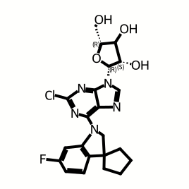 OC[C@H]1O[C@@H](n2cnc3c(N4CC5(CCCC5)c5ccc(F)cc54)nc(Cl)nc32)[C@@H](O)C1O